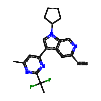 CC(=O)Nc1cc2c(-c3cc(C)nc(C(C)(F)F)n3)cn(C3CCCC3)c2cn1